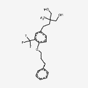 NC(CO)(CO)CCc1ccc(OCCCc2ccccc2)c(C(F)(F)F)c1